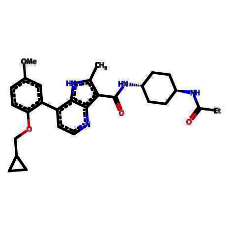 CCC(=O)N[C@H]1CC[C@H](NC(=O)c2c(C)[nH]c3c(-c4cc(OC)ccc4OCC4CC4)ccnc23)CC1